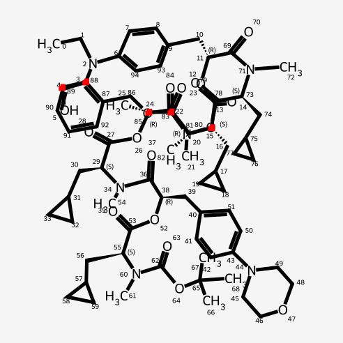 CCN(CCO)c1ccc(C[C@@H](OC(=O)[C@H](CC2CC2)N(C)C(=O)[C@@H](C)OC(=O)[C@H](CC2CC2)N(C)C(=O)[C@@H](Cc2ccc(N3CCOCC3)cc2)OC(=O)[C@H](CC2CC2)N(C)C(=O)OC(C)(C)C)C(=O)N(C)[C@@H](CC2CC2)C(=O)O[C@H](C)C(=O)OCc2ccccc2)cc1